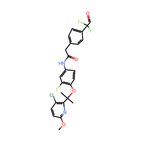 COc1ccc(Cl)c(C(C)(C)Oc2ccc(NC(=O)Cc3ccc(C(F)(F)C=O)cc3)cc2F)n1